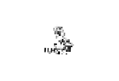 NC(=O)C(=O)CC1CCc2sc3ncnc(O[C@H]4CC[C@H](N5CCOCC5)CC4)c3c21